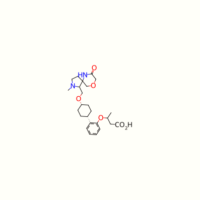 CC(CC(=O)O)Oc1ccccc1[C@H]1CC[C@@H](OCC2N(C)CCC23COCC(=O)N3)CC1